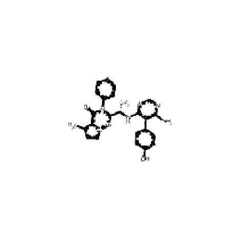 Cc1ccn2nc([C@H](C)Nc3ncnc(N)c3-c3ccc(O)cc3)n(-c3ccccc3)c(=O)c12